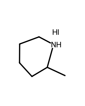 CC1CCCCN1.I